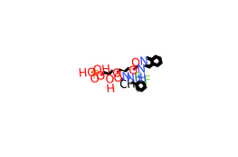 CC(=O)N(NCc1cccc(F)c1F)[C@@H](COC[C@H](O)COP(=O)(O)O)COC(=O)Nc1cc2ccccc2cn1